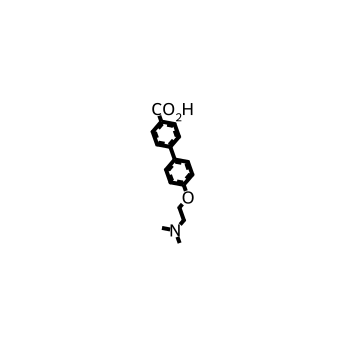 CN(C)CCOc1ccc(-c2ccc(C(=O)O)cc2)cc1